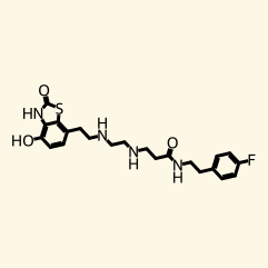 O=C(CCNCCNCCc1ccc(O)c2[nH]c(=O)sc12)NCCc1ccc(F)cc1